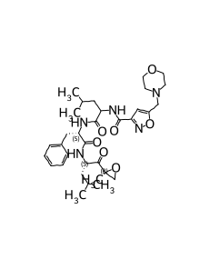 CC(C)CC(NC(=O)c1cc(CN2CCOCC2)on1)C(=O)N[C@@H](Cc1ccccc1)C(=O)N[C@@H](CC(C)C)C(=O)[C@@]1(C)CO1